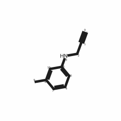 [C]#CCNc1cccc(C)c1